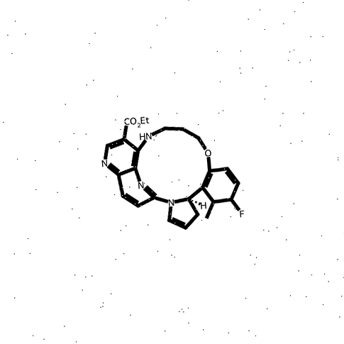 CCOC(=O)c1cnc2ccc3nc2c1NCCCOC1=C(C(C)C(F)C=C1)[C@H]1CC=CN31